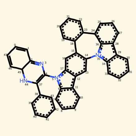 C1=CC2=NC(n3c4ccccc4c4cc5c(cc43)-c3ccccc3-c3cccc4c6ccccc6n-5c34)=C(c3ccccc3)NC2C=C1